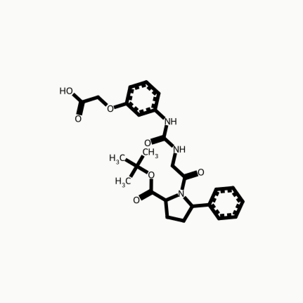 CC(C)(C)OC(=O)C1CCC(c2ccccc2)N1C(=O)CNC(=O)Nc1cccc(OCC(=O)O)c1